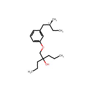 CCCC(O)(CCC)COc1cccc(C[C@@H](C)CC)c1